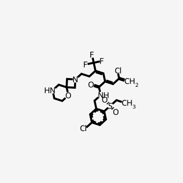 C=C(Cl)/C=C(\C=C(/CCN1CC2(CNCCO2)C1)C(F)(F)F)C(=O)NCc1cc(Cl)ccc1S(=O)(=O)CC